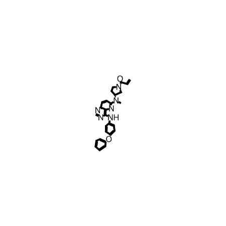 C=CC(=O)N1CC[C@H](N(C)c2ccc3ncnc(Nc4ccc(Oc5ccccc5)cc4)c3n2)C1